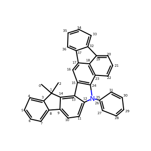 CC1(C)c2ccccc2-c2ccc3c(c21)c1cc2c4c(cccc4c1n3-c1ccccc1)-c1ccccc1-2